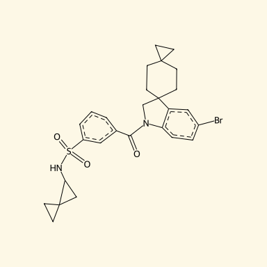 O=C(c1cccc(S(=O)(=O)NC2CC23CC3)c1)N1CC2(CCC3(CC3)CC2)c2cc(Br)ccc21